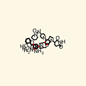 CN(C(=O)N1CCC(Oc2cccc(N3C4COCC3CN(C(/C=C(\N)c3ccccc3O)=C(N)N)C4)c2)CC1)C1CCN(c2cccc3c2CCN3C2CCC(=O)NC2=O)CC1